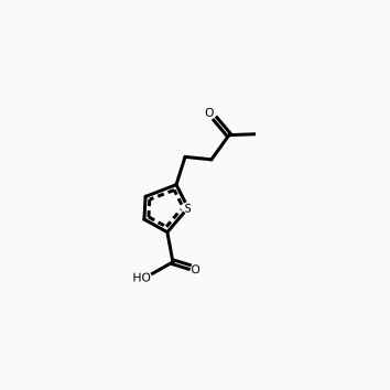 CC(=O)CCc1ccc(C(=O)O)s1